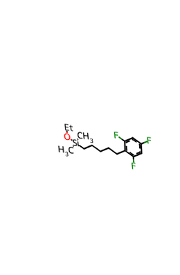 CCO[Si](C)(C)CCCCCc1c(F)cc(F)cc1F